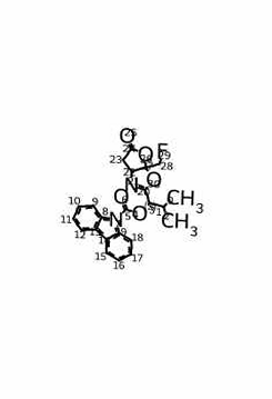 CC(C)[C@H](OC(=O)n1c2ccccc2c2ccccc21)C1=NC2CC(=O)OC2(CF)O1